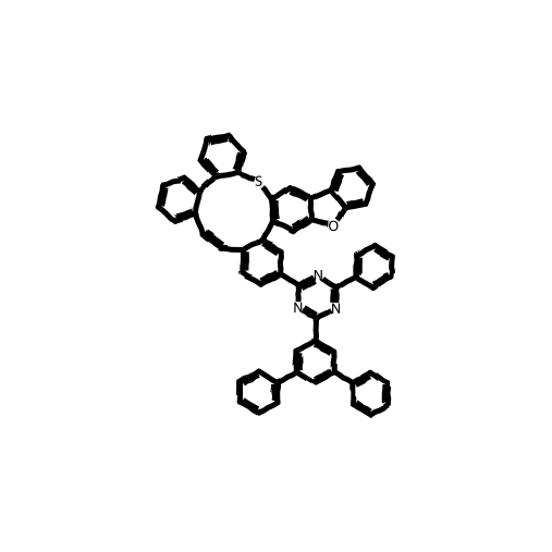 C1=C\c2ccc(-c3nc(-c4ccccc4)nc(-c4cc(-c5ccccc5)cc(-c5ccccc5)c4)n3)cc2-c2cc3oc4ccccc4c3cc2Sc2ccccc2-c2ccccc2/1